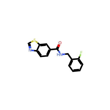 O=C(NCc1ccccc1F)c1ccc2n[c]sc2c1